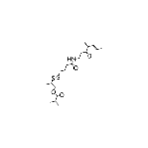 CC=CC(C)C(=O)CCNC(=O)CCCSSC(C)COC(=O)C(C)C